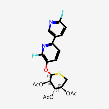 CC(=O)O[C@@H]1[C@@H](OC(C)=O)[C@@H](Oc2ccc(-c3ccc(F)nc3)nc2F)SC[C@H]1OC(C)=O